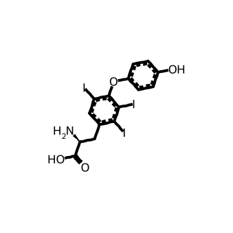 N[C@@H](Cc1cc(I)c(Oc2ccc(O)cc2)c(I)c1I)C(=O)O